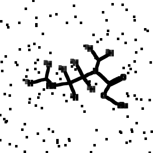 [2H]C([2H])NC([2H])([2H])C([2H])([2H])N(C(=O)OC(C)(C)C)C([2H])[2H]